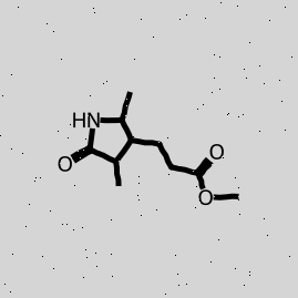 COC(=O)CCC1C(C)NC(=O)C1C